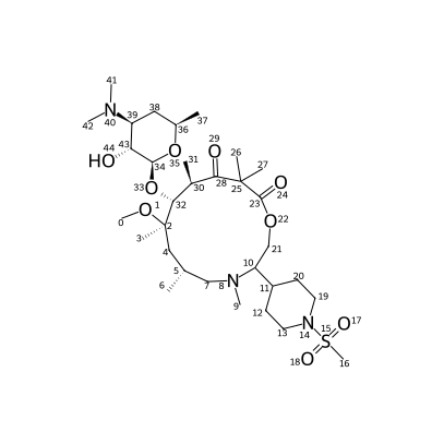 CO[C@]1(C)C[C@@H](C)CN(C)C(C2CCN(S(C)(=O)=O)CC2)COC(=O)C(C)(C)C(=O)[C@H](C)[C@H]1O[C@@H]1O[C@H](C)C[C@H](N(C)C)[C@H]1O